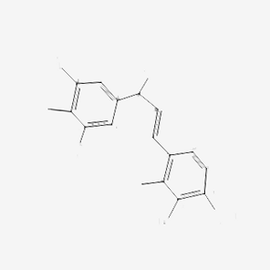 CCc1c(C=CC(c2cc(Cl)c(Cl)c(Cl)c2)C(F)(F)F)ccc(C(=O)O)c1Br